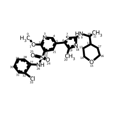 COc1ncc(-c2sc(NC(C)C3CCOCC3)nc2C)cc1S(=O)(=O)Nc1ccccc1Cl